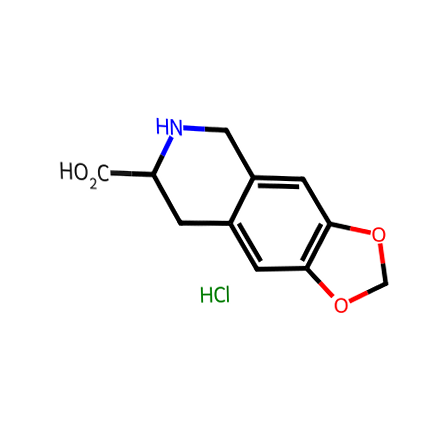 Cl.O=C(O)C1Cc2cc3c(cc2CN1)OCO3